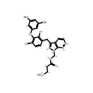 N#Cc1cc(C#N)cc(Oc2c(Cl)ccc(Cc3nn(COC(=O)CCC(=O)O)c4nnccc34)c2F)c1